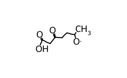 CC([O])CCC(=O)CC(=O)O